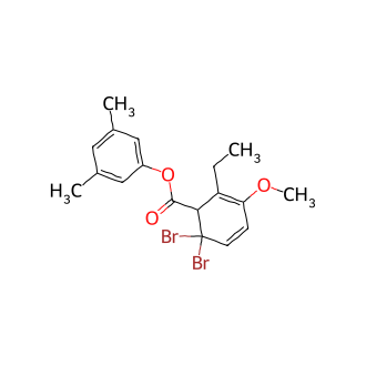 CCC1=C(OC)C=CC(Br)(Br)C1C(=O)Oc1cc(C)cc(C)c1